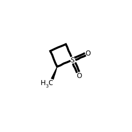 C[C@H]1CCS1(=O)=O